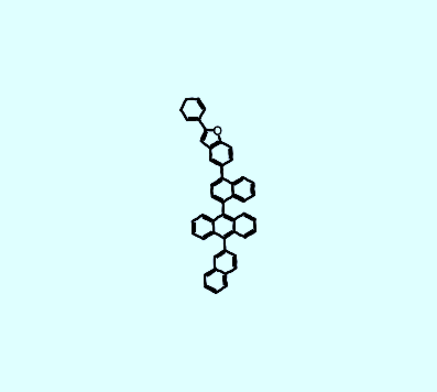 C1=CC(c2cc3cc(-c4ccc(-c5c6ccccc6c(-c6ccc7ccccc7c6)c6ccccc56)c5ccccc45)ccc3o2)=CCC1